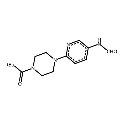 CC(C)(C)C(=O)N1CCN(c2ccc(NC=O)cn2)CC1